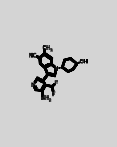 Cc1cc2c(cc1C#N)c(-c1cncc(N)c1C(F)F)cn2[C@H]1CC[C@H](O)CC1